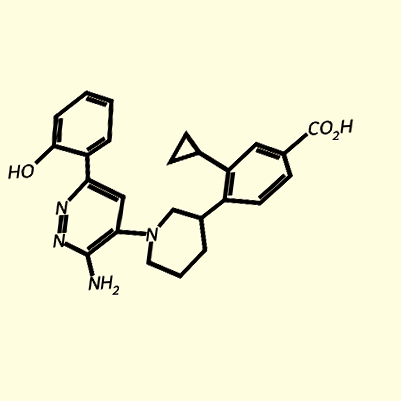 Nc1nnc(-c2ccccc2O)cc1N1CCCC(c2ccc(C(=O)O)cc2C2CC2)C1